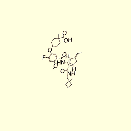 C/C=C1\C[C@@H]2C[C@H]1[C@@H](NC(=O)c1cc(OC3CCC(C)(C(=O)O)CC3)c(F)cc1OC)[C@H]2C(=O)NCC1(C)CCC1